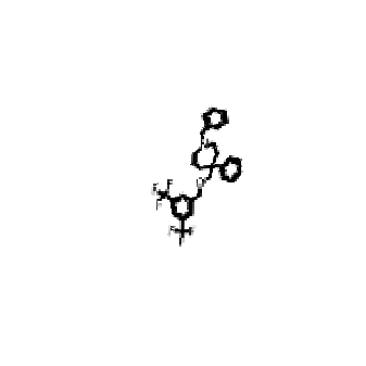 FC(F)(F)c1cc(COCC2(c3ccccc3)CCCN(Cc3ccccc3)CC2)cc(C(F)(F)F)c1